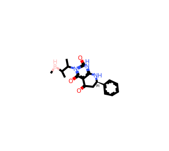 CBC(C)C(C)n1c(=O)[nH]c2c(c1=O)C(=O)C[C@H](c1ccccc1)N2